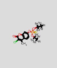 [2H]C([2H])([2H])C([2H])([2H])OP(=S)(Oc1ccc2c(C)c(Cl)c(=O)oc2c1)OC([2H])([2H])C([2H])([2H])[2H]